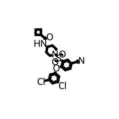 N#Cc1ccc(Oc2cc(Cl)cc(Cl)c2)c(S(=O)(=O)N2CCC(NC(=O)C3CCC3)CC2)c1